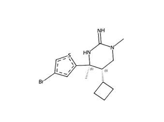 CN1C[C@H](C2CCC2)[C@@](C)(c2cc(Br)cs2)NC1=N